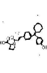 O=C(O)C1CCCN1C(=O)/C=C/c1ccc(C(=C2CCCCCC2)c2ccc(O)cc2)cc1